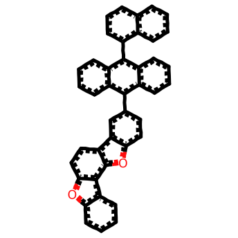 c1ccc2c(-c3c4ccccc4c(-c4ccc5oc6c(ccc7oc8ccccc8c76)c5c4)c4ccccc34)cccc2c1